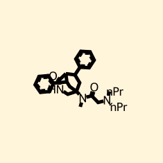 CCCN(CCC)CC(=O)N(C)C12CNC(=O)C(C(c3ccccc3)C1)C(c1ccccc1)C2